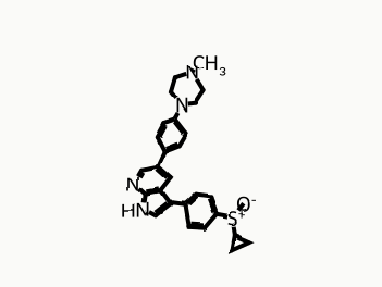 CN1CCN(c2ccc(-c3cnc4[nH]cc(-c5ccc([S+]([O-])C6CC6)cc5)c4c3)cc2)CC1